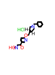 Cl.O=C(C=NO)c1ccc(OCC2[C@H]3CN(Cc4ccccc4)C[C@@H]23)nc1